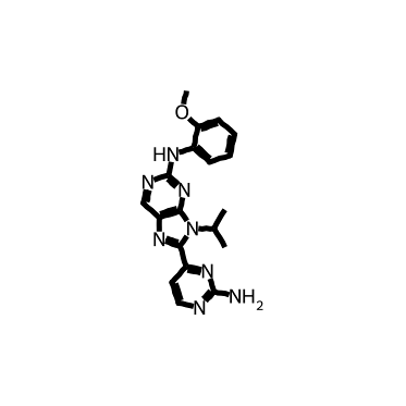 COc1ccccc1Nc1ncc2nc(-c3ccnc(N)n3)n(C(C)C)c2n1